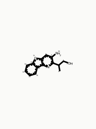 CC(CO)c1nc2c(cc1N)oc1ccccc12